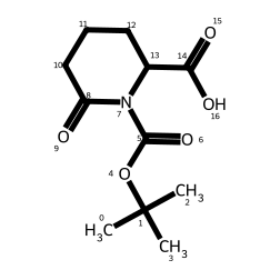 CC(C)(C)OC(=O)N1C(=O)CCCC1C(=O)O